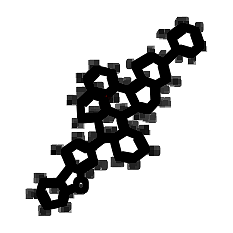 c1ccc(-c2ccc3c(-c4ccccc4)c(-c4c5ccccc5c(-c5ccc6c(c5)oc5ccccc56)c5ccccc45)ccc3c2)cc1